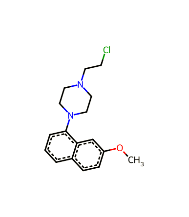 COc1ccc2cccc(N3CCN(CCCl)CC3)c2c1